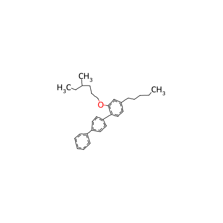 CCCCCc1ccc(-c2ccc(-c3ccccc3)cc2)c(OCCCC(C)CC)c1